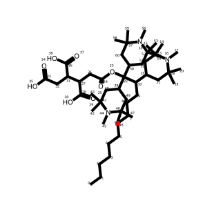 CCCCCCCCCCC(C1CC(C)(C)N(C)C(C)(C)C1)C(OC(=O)CC(C(=O)O)C(CC(=O)O)C(=O)O)(C1CC(C)(C)N(C)C(C)(C)C1)C1CC(C)(C)N(C)C(C)(C)C1